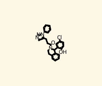 O=C(CCc1cnnn1-c1ccccc1)N1CCc2ccccc2C1c1cc(Cl)ccc1O